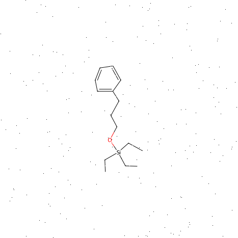 CC[Si](CC)(CC)OCCCc1ccccc1